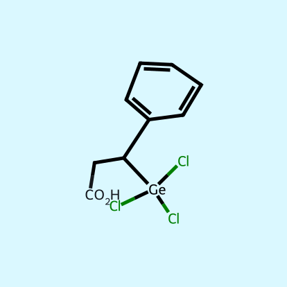 O=C(O)C[CH](c1ccccc1)[Ge]([Cl])([Cl])[Cl]